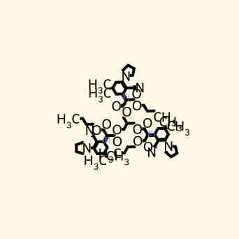 CCCCOC(=O)/C(C(=O)OCC(COC(=O)/C(C(=O)OCCCC)=C1\CC(C)(C)CC(N2CCCC2)=C1C#N)COC(=O)/C(C(=O)OCCCC)=C1\CC(C)(C)CC(N2CCCC2)=C1C#N)=C1/CC(C)(C)CC(N2CCCC2)=C1C#N